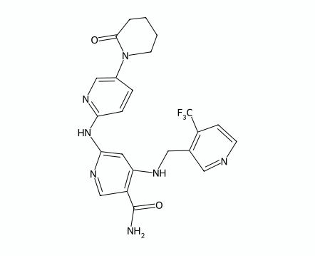 NC(=O)c1cnc(Nc2ccc(N3CCCCC3=O)cn2)cc1NCc1cnccc1C(F)(F)F